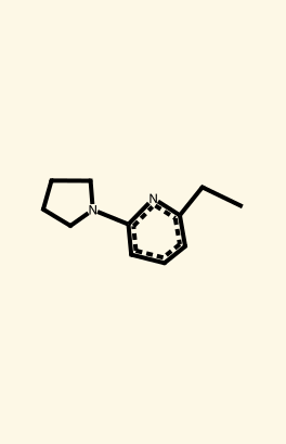 CCc1cccc(N2CCCC2)n1